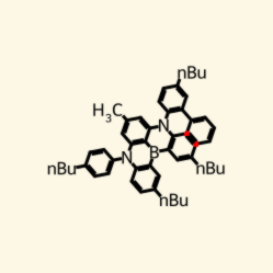 CCCCc1ccc(N2c3ccc(CCCC)cc3B3c4cc(CCCC)ccc4N(c4ccc(CCCC)cc4-c4ccccc4)c4cc(C)cc2c43)cc1